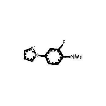 CNc1ccc(-n2cccn2)cc1F